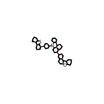 c1ccc(-c2ccccc2N(c2ccc(-c3ccc4c(ccc5oc6ccccc6c54)c3)cc2)c2ccc(-c3cccc4c3sc3ccccc34)cc2)cc1